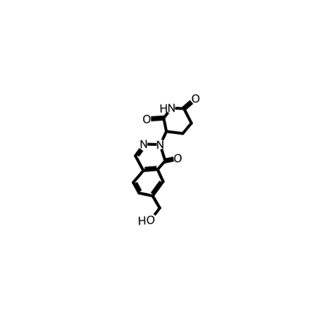 O=C1CCC(n2ncc3ccc(CO)cc3c2=O)C(=O)N1